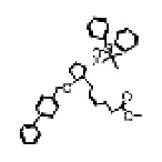 COC(=O)CC/C=C\C[C@@H]1[C@@H](CO[Si](c2ccccc2)(c2ccccc2)C(C)(C)C)CC[C@@H]1OCc1ccc(-c2ccccc2)cc1